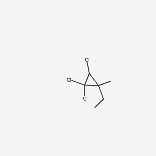 CCC1(C)C(Cl)C1(Cl)Cl